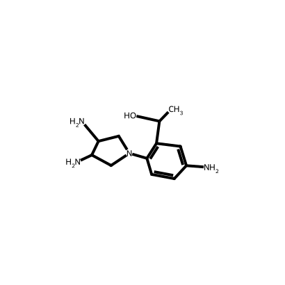 CC(O)c1cc(N)ccc1N1CC(N)C(N)C1